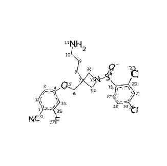 N#Cc1ccc(OCC2(CCCN)CN([S+]([O-])c3ccc(Cl)cc3Cl)C2)cc1F